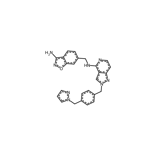 Nc1noc2cc(CNc3nccc4nn(Cc5ccc(Cn6cccn6)cc5)cc34)ccc12